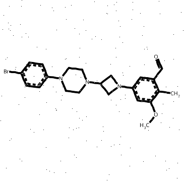 COc1cc(N2CC(N3CCN(c4ccc(Br)cc4)CC3)C2)cc(C=O)c1C